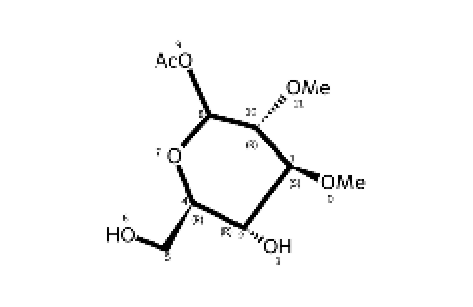 CO[C@H]1[C@H](O)[C@@H](CO)OC(OC(C)=O)[C@@H]1OC